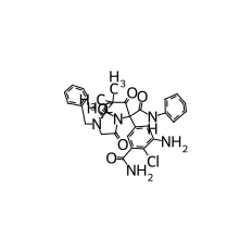 CC(C)(C)C(=O)C(C(=O)Nc1ccccc1)(c1cc(N)c(Cl)c(C(N)=O)c1)N1C(=O)CN(Cc2ccccc2)C1=O